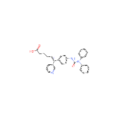 O=C(O)CCC/C=C(/c1ccc(NC(=O)N(c2ccccc2)c2ccccc2)cc1)c1cccnc1